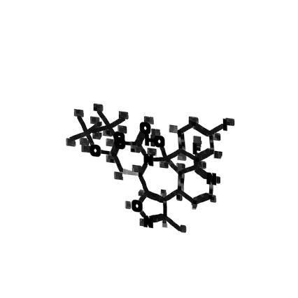 Cc1noc2c1-c1ccnc(F)c1C(O)(c1ccc(I)cc1)N(C(=O)OC(C)(C)C)[C@H]2CC(=O)OC(C)(C)C